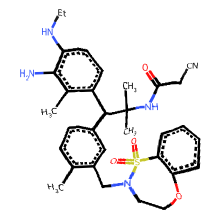 CCNc1ccc(C(c2ccc(C)c(CN3CCOc4ccccc4S3(=O)=O)c2)C(C)(C)NC(=O)CC#N)c(C)c1N